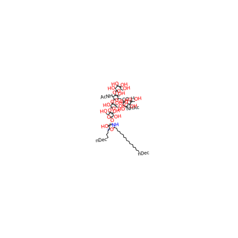 CCCCCCCCCCCCC/C=C/[C@@H](O)[C@H](CO[C@@H]1OC(CO)[C@@H](O[C@@H]2OC(CO)[C@H](O)[C@H](O[C@@H]3OC(CO[C@]4(C(=O)O)CC(O)[C@@H](NC(C)=O)C([C@H](O)[C@H](O)CO)O4)[C@@H](O)[C@H](O[C@@H]4OC(CO)[C@H](O)[C@H](O)C4O)C3NC(C)=O)C2O)[C@H](O)C1O)NC(=O)CCCCCCCCCCCCCCCCCCCCCCCCC